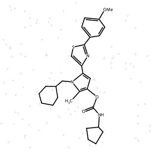 COc1ccc(-c2nc(-c3cc(OC(=O)NC4CCCC4)c(C)n3CC3CCCCC3)cs2)cc1